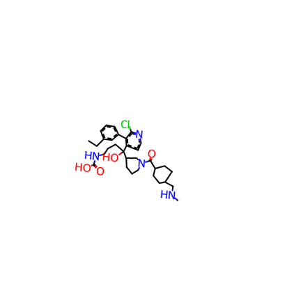 CCc1cccc(-c2c(C(O)(CCCNC(=O)O)C3CCCN(C(=O)C4CCC(CNC)CC4)C3)ccnc2Cl)c1